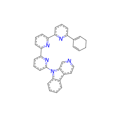 C1=CC(c2cccc(-c3cccc(-c4cccc(-n5c6ccccc6c6ccncc65)n4)n3)n2)=CCC1